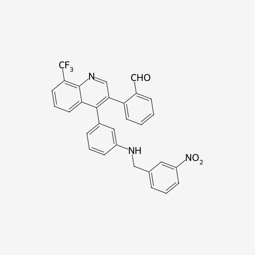 O=Cc1ccccc1-c1cnc2c(C(F)(F)F)cccc2c1-c1cccc(NCc2cccc([N+](=O)[O-])c2)c1